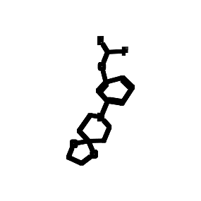 FC(F)Oc1cccc(N2CCC3(CC2)OCCO3)c1